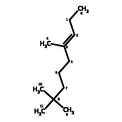 CC/C=C(\C)CCCC(C)(C)C